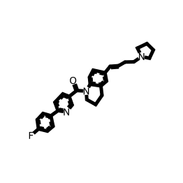 O=C(c1ccc(-c2ccc(F)cc2)nc1)N1CCCc2cc(C=CCCN3CCCC3)ccc21